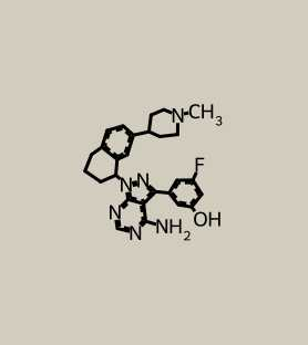 CN1CCC(c2ccc3c(c2)C(n2nc(-c4cc(O)cc(F)c4)c4c(N)ncnc42)CCC3)CC1